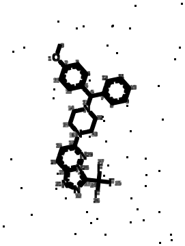 COc1ccc(C(c2ccccc2)N2CCN(c3ccc4nnc(C(F)(F)F)n4n3)CC2)cc1